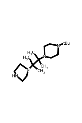 CC(C)(C)N1CCN(C(C)(C)C(C)(C)N2CCNCC2)CC1